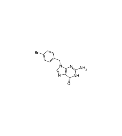 Nc1nc2c(ncn2Cc2ccc(Br)cc2)c(=O)[nH]1